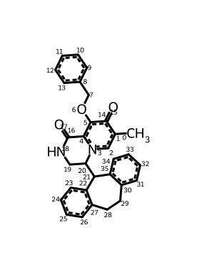 Cc1cn2c(c(OCc3ccccc3)c1=O)C(=O)NCC2C1c2ccccc2CCc2ccccc21